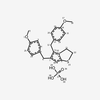 COc1ccc(Cc2nc3n(c2Cc2ccc(OC)cc2)CCS3)cc1.O=P(O)(O)O